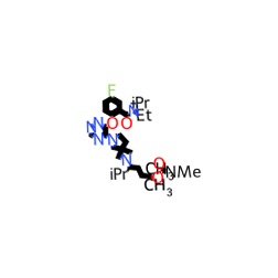 CCN(C(=O)c1cc(F)ccc1Oc1nncnc1N1CCC2(C1)CN([C@@H](CCC(C)(C)OC(=O)NC)C(C)C)C2)C(C)C